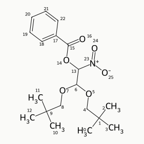 CC(C)(C)COC(OCC(C)(C)C)C(OC(=O)c1ccccc1)[N+](=O)[O-]